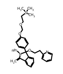 C=C1c2ccccc2C(OCCc2ccccn2)(c2ccc(OCOCC[Si](C)(C)C)cc2)N1CCC